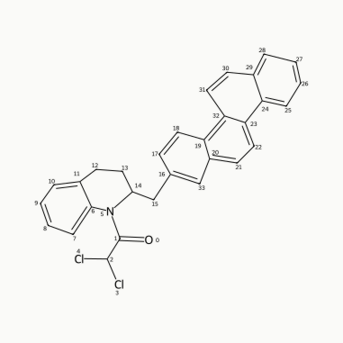 O=C(C(Cl)Cl)N1c2ccccc2CCC1Cc1ccc2c(ccc3c4ccccc4ccc23)c1